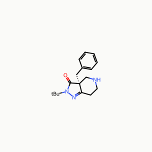 CC(C)(C)N1N=C2CCNC[C@]2(Cc2ccccc2)C1=O